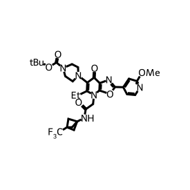 CCc1c(N2CCN(C(=O)OC(C)(C)C)CC2)c(=O)c2nc(-c3ccnc(OC)c3)oc2n1CC(=O)NC12CC(C(F)(F)F)(C1)C2